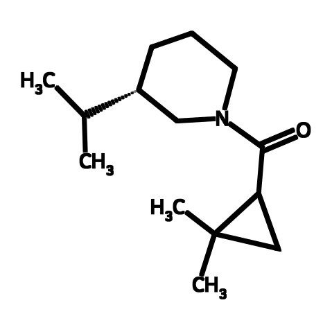 CC(C)[C@@H]1CCCN(C(=O)C2CC2(C)C)C1